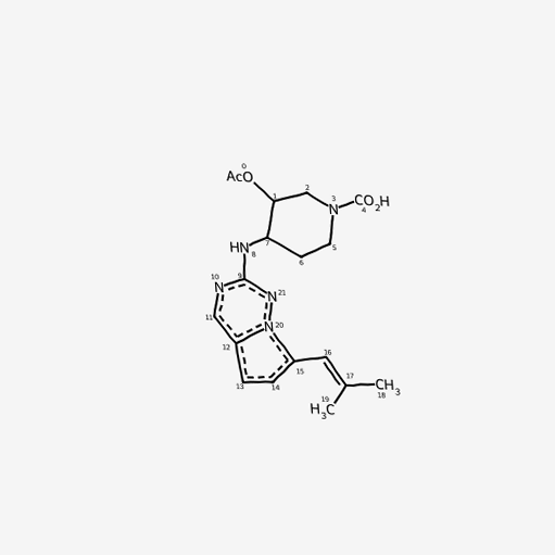 CC(=O)OC1CN(C(=O)O)CCC1Nc1ncc2ccc(C=C(C)C)n2n1